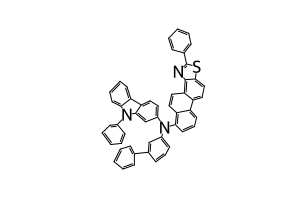 c1ccc(-c2cccc(N(c3ccc4c5ccccc5n(-c5ccccc5)c4c3)c3cccc4c3ccc3c4ccc4sc(-c5ccccc5)nc43)c2)cc1